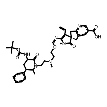 C=CC1=C(/N=C\OCCN(C)CCN2C(=O)C(NC(=O)OC(C)(C)C)CC(c3ccccc3)C2C)NC(=O)[C@]12Cc1cc(C(=O)O)cnc1C2